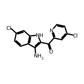 Nc1c(C(=O)c2cc(Cl)ccn2)[nH]c2cc(Cl)ccc12